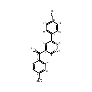 CCc1ccc(C(=O)c2cnnc(-c3ccc(Cl)cc3)c2)cc1